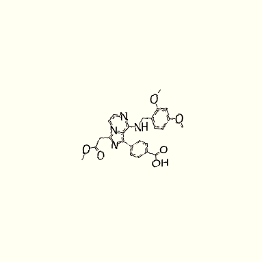 COC(=O)Cc1nc(-c2ccc(C(=O)O)cc2)c2c(NCc3ccc(OC)cc3OC)nccn12